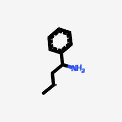 C[CH]CC(N)c1ccccc1